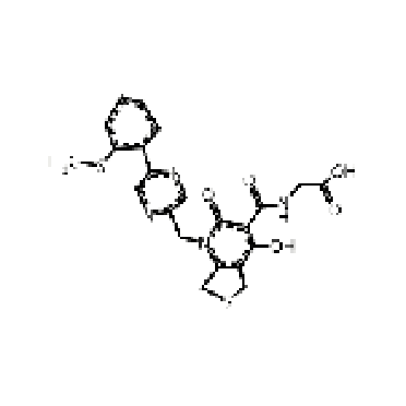 CSc1ccccc1-c1cnc(Cn2c3c(c(O)c(C(=O)NCC(=O)O)c2=O)CSC3)cn1